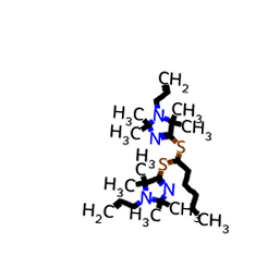 C=CCN1C(C)(C)N=C(SC(CCCCC)SC2=NC(C)(C)N(CC=C)C2(C)C)C1(C)C